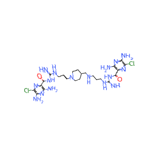 N=C(NCCCNCC1CCN(CCCNC(=N)NC(=O)c2nc(Cl)c(N)nc2N)CC1)NC(=O)c1nc(Cl)c(N)nc1N